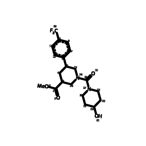 COC(=O)C1CC(c2ccc(C(F)(F)F)cc2)CN(C(=O)N2CCC(O)CC2)C1